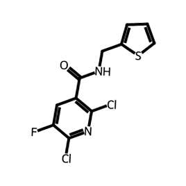 O=C(NCc1cccs1)c1cc(F)c(Cl)nc1Cl